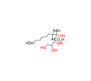 CCCCCCCCCCCCCCCC(C(C)=O)(C(C)=O)C(O)(C(C)=O)C(=O)O.OCC(O)CO